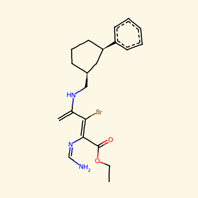 C=C(NC[C@H]1CCC[C@@H](c2ccccc2)C1)/C(Br)=C(\N=C/N)C(=O)OCC